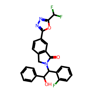 O=C1c2cc(-c3nnc(C(F)F)o3)ccc2CN1C(c1ccccc1F)C(O)c1ccccc1